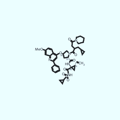 C=C[C@@H]1C[C@]1(NC(=O)[C@@H]1C[C@@H](Oc2cc(-c3ccccc3)nc3cc(OC)ccc23)CN1C(=O)C(CC(=O)N1CCCCC1)CC1CC1)C(=O)NS(=O)(=O)C1CC1